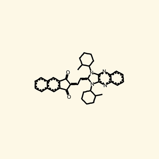 CC1CCCCC1N1C(=CC=C2C(=O)c3cc4ccccc4cc3C2=O)N(C2CCCCC2C)c2nc3ccccc3nc21